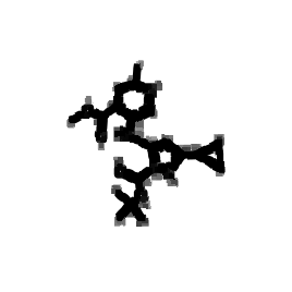 COC(=O)c1cc(C)ncc1Nc1cc(C2CC2)nn1C(=O)OC(C)(C)C